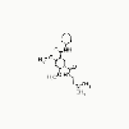 COc1cc(OC)c(C(=O)NC2CCCCC2)cc1C(=O)NCCN(C)C